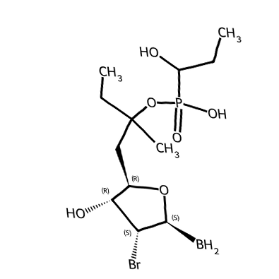 B[C@@H]1O[C@H](CC(C)(CC)OP(=O)(O)C(O)CC)[C@@H](O)[C@H]1Br